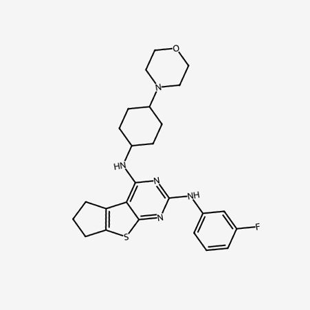 Fc1cccc(Nc2nc(NC3CCC(N4CCOCC4)CC3)c3c4c(sc3n2)CCC4)c1